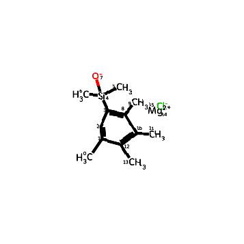 Cc1cc([Si](C)(C)[O-])c(C)c(C)c1C.[Cl-].[Mg+2]